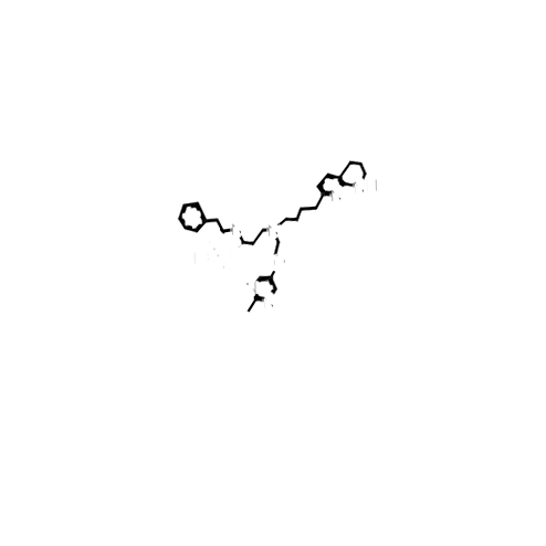 Cc1ncc(OCCN(CCCCc2ccc3c(n2)NCCC3)CC[C@H](NC(=O)Cc2ccccc2)C(=O)O)cn1